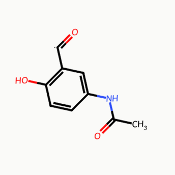 CC(=O)Nc1ccc(O)c([C]=O)c1